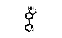 Cc1cc(-c2cccnc2)ccc1N